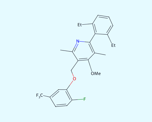 CCc1cccc(CC)c1-c1nc(C)c(COc2cc(C(F)(F)F)ccc2F)c(OC)c1C